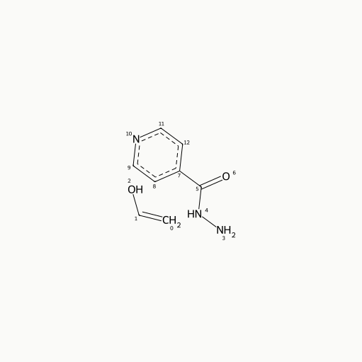 C=CO.NNC(=O)c1ccncc1